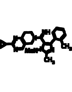 CNn1c(C)nc(-c2ccccc2C)c1C(=N)N1CCc2nc(C3CC3)ncc2C1